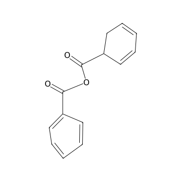 O=C(OC(=O)C1C=CC=CC1)c1ccccc1